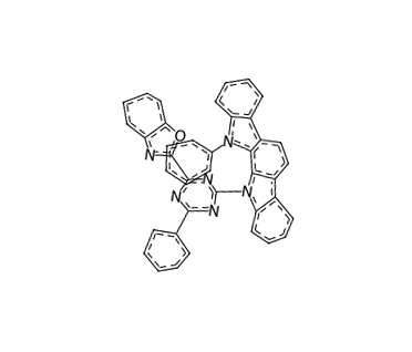 c1ccc(-c2nc(-c3nc4ccccc4o3)nc(-n3c4ccccc4c4ccc5c6ccccc6n(-c6ccccc6)c5c43)n2)cc1